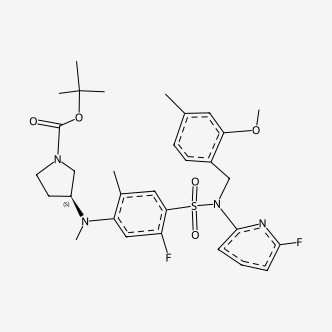 COc1cc(C)ccc1CN(c1cccc(F)n1)S(=O)(=O)c1cc(C)c(N(C)[C@H]2CCN(C(=O)OC(C)(C)C)C2)cc1F